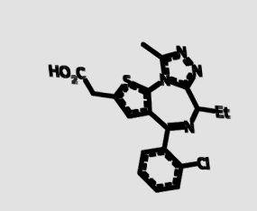 CCC1N=C(c2ccccc2Cl)c2cc(CC(=O)O)sc2-n2c(C)nnc21